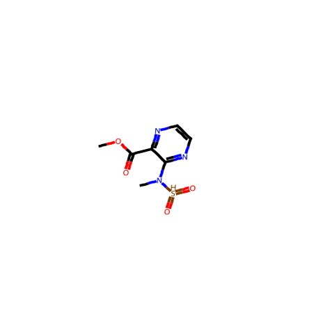 COC(=O)c1nccnc1N(C)[SH](=O)=O